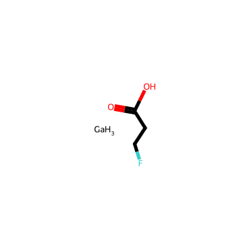 O=C(O)CCF.[GaH3]